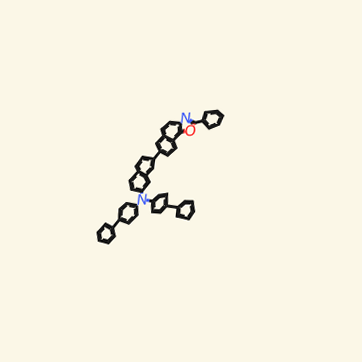 c1ccc(-c2ccc(N(c3ccc(-c4ccccc4)cc3)c3ccc4ccc(-c5ccc6c(ccc7nc(-c8ccccc8)oc76)c5)cc4c3)cc2)cc1